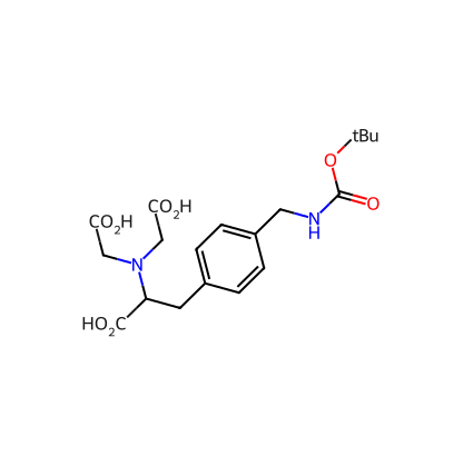 CC(C)(C)OC(=O)NCc1ccc(CC(C(=O)O)N(CC(=O)O)CC(=O)O)cc1